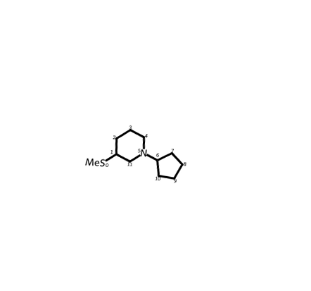 CSC1CCCN(C2CCCC2)C1